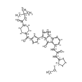 COC[C@H]1CCCN1NC(=O)Nc1cccc2c1C(=O)c1c(-c3ccc(C(=O)N4CCN(C(=O)OC(C)(C)C)CC4)s3)n[nH]c1-2